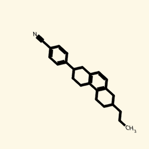 CCCC1CCc2c(ccc3c2CCC(c2ccc(C#N)cc2)C3)C1